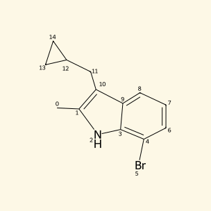 Cc1[nH]c2c(Br)cccc2c1CC1CC1